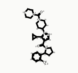 O=C(N1CCSCC1)N1CCC(n2ncc(C(=O)N3CCCC3c3ccccc3C(F)(F)F)c2C2CC2)CC1